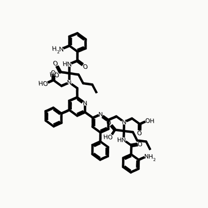 CCCCC(NC(=O)c1ccccc1N)(C(=O)O)N(CC(=O)O)Cc1cc(-c2ccccc2)cc(-c2cc(-c3ccccc3)cc(CN(CC(=O)O)C(CCCC)(NC(=O)c3ccccc3N)C(=O)O)n2)n1